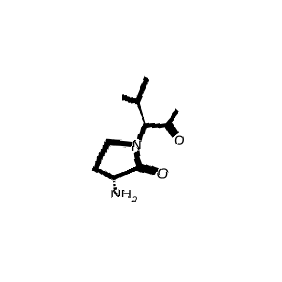 CC(=O)[C@H](C(C)C)N1CC[C@@H](N)C1=O